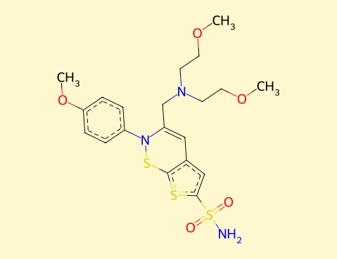 COCCN(CCOC)CC1=Cc2cc(S(N)(=O)=O)sc2SN1c1ccc(OC)cc1